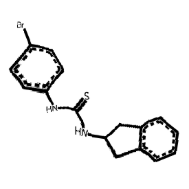 S=C(Nc1ccc(Br)cc1)NC1Cc2ccccc2C1